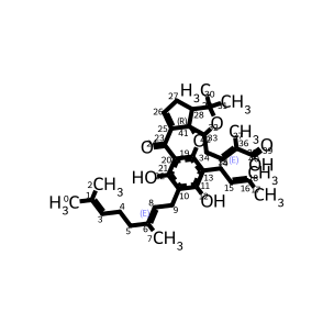 CC(C)=CCC/C(C)=C/Cc1c(O)c(CC=C(C)C)c2c(c1O)C(=O)C1=CCC3C(C)(C)OC(C/C=C(\C)C(=O)O)[C@]13O2